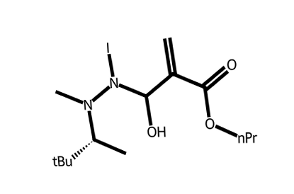 C=C(C(=O)OCCC)C(O)N(I)N(C)[C@H](C)C(C)(C)C